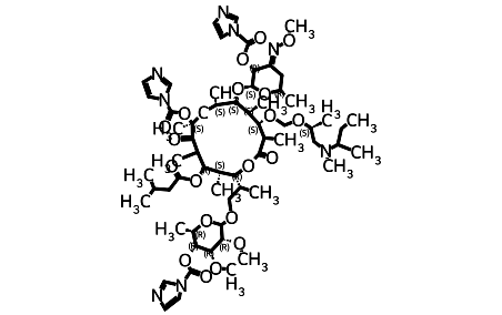 CCC(C)N(C)C[C@H](C)OCO[C@@H]1C(C)C(=O)O[C@H](C(C)COC2O[C@H](C)[C@@H](OC(=O)n3ccnc3)[C@@H](OC)[C@H]2OC)[C@H](C)[C@@H](OC(=O)CC(C)C)C(C)C(=O)[C@@](C)(OC(=O)n2ccnc2)C[C@H](C)[C@H](O[C@@H]2O[C@H](C)CC(=NOC)[C@H]2OC(=O)n2ccnc2)[C@H]1C